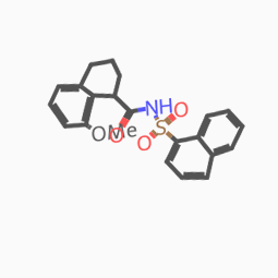 COc1cccc2c1C(C(=O)NS(=O)(=O)c1cccc3ccccc13)CCC2